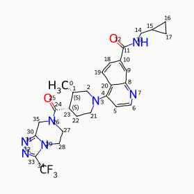 C[C@@H]1CN(c2ccnc3cc(C(=O)NCC4CC4)ccc23)CC[C@@H]1C(=O)N1CCn2c(nnc2C(F)(F)F)C1